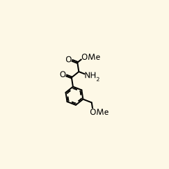 COCc1cccc(C(=O)C(N)C(=O)OC)c1